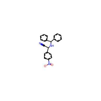 N#CC(NC(c1ccccc1)c1ccccc1)c1ccc([N+](=O)[O-])cc1